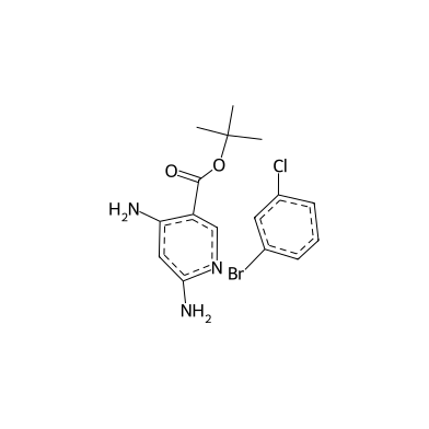 CC(C)(C)OC(=O)c1cnc(N)cc1N.Clc1cccc(Br)c1